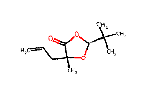 C=CC[C@@]1(C)O[C@H](C(C)(C)C)OC1=O